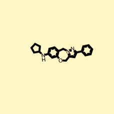 c1ccc(-c2cc3n(n2)Cc2ccc(NC4CCCC4)cc2OC3)cc1